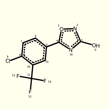 Oc1noc(-c2ccc(Cl)c(C(F)(F)F)c2)n1